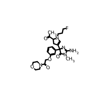 CC(=O)C1CC(C2(c3cccc(OCC(=O)N4CCOCC4)c3)N=C(N)N(C)C2=O)=CN1CCCF